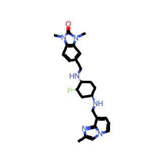 Cc1cn2cccc(CN[C@@H]3CC[C@@H](NCc4ccc5c(c4)n(C)c(=O)n5C)[C@@H](F)C3)c2n1